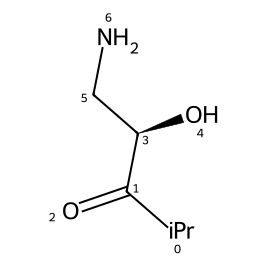 CC(C)C(=O)[C@H](O)CN